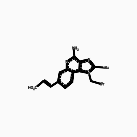 CCCCc1nc2c(N)nc3cc(C=CC(=O)O)ccc3c2n1CC(C)C